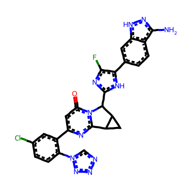 Nc1n[nH]c2cc(-c3[nH]c(C4C5CC5c5nc(-c6cc(Cl)ccc6-n6cnnn6)cc(=O)n54)nc3F)ccc12